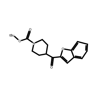 CC(C)(C)OC(=O)N1CCC(C(=O)c2cc3ccccc3o2)CC1